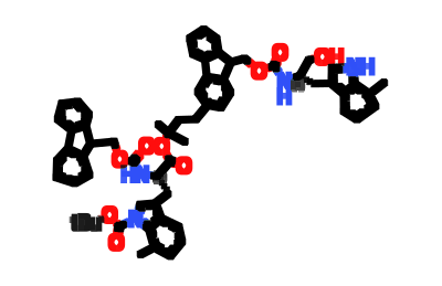 Cc1cccc2c(C[C@@H](CO)NC(=O)OCC3c4ccccc4-c4cc(CCC(C)(C)OC(=O)[C@H](Cc5cn(C(=O)OC(C)(C)C)c6c(C)cccc56)NC(=O)OCC5c6ccccc6-c6ccccc65)ccc43)c[nH]c12